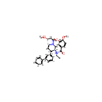 CCN(C(=O)c1ccc(OC)c(OCCCOC)c1)C1CNCC[C@@H]1c1cccc(-c2ccccc2)c1